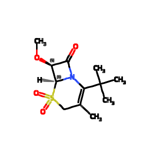 CO[C@H]1C(=O)N2C(C(C)(C)C)=C(C)CS(=O)(=O)[C@@H]12